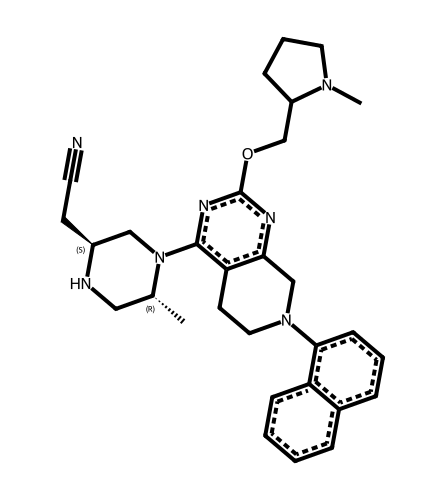 C[C@@H]1CN[C@@H](CC#N)CN1c1nc(OCC2CCCN2C)nc2c1CCN(c1cccc3ccccc13)C2